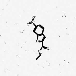 CCOC(=O)c1cc2ccc([N+](=O)[O-])cc2o1